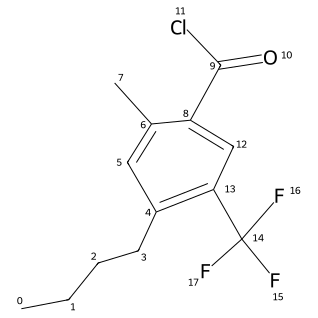 CCCCc1cc(C)c(C(=O)Cl)cc1C(F)(F)F